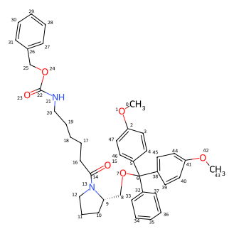 COc1ccc(C(OC[C@@H]2CCCN2C(=O)CCCCCNC(=O)OCc2ccccc2)(c2ccccc2)c2ccc(OC)cc2)cc1